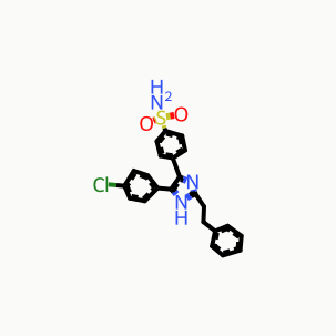 NS(=O)(=O)c1ccc(-c2nc(CCc3ccccc3)[nH]c2-c2ccc(Cl)cc2)cc1